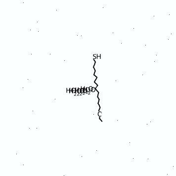 CCCCCCCCCCCCCCCCCCS.Cl.O.O.O.O.O.O